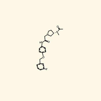 CC(=O)N(C)[C@H]1CCN(CC(=O)Nc2ccc(OCc3cccc(F)c3)cc2)C1